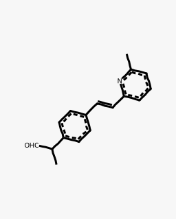 Cc1cccc(C=Cc2ccc(C(C)C=O)cc2)n1